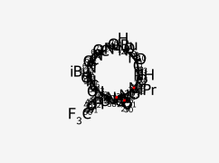 CC[C@H](C)[C@@H]1NC(=O)[C@H](C)N(C)C(=O)C[C@@H](C)NC(=O)[C@H](CC(C)C)N(C)C(=O)[C@H](Cc2ccccc2)N(C)C(=O)[C@@H]2CCCN2C(=O)[C@H](CCc2ccc(C(F)(F)F)cc2)NC(=O)CN(C)C(=O)[C@H]([C@@H](C)CC)N(C)C(=O)CN(C)C(=O)CN(C)C1=O